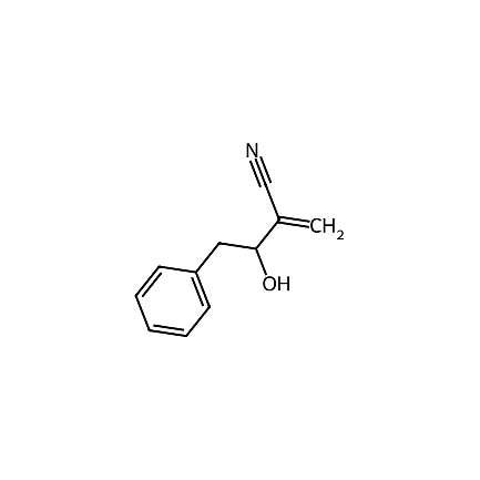 C=C(C#N)C(O)Cc1ccccc1